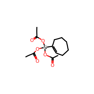 CC(=O)O[Si](OC(C)=O)(OC(C)=O)C1=CCCCCC1